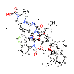 CCCc1cc(CO[Si](CC(C)C)(c2ccccc2)c2ccccc2)cc(C)c1-n1c(=O)nc(N2C[C@@H](C)N(C(=O)O)C[C@@H]2C)c2cc(F)c(-c3c(F)cccc3N(C(=O)OCC(C)C)C(=O)OCC(C)C)nc21